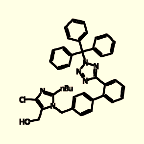 CCCCc1nc(Cl)c(CO)n1Cc1ccc(-c2ccccc2-c2nnn(C(c3ccccc3)(c3ccccc3)c3ccccc3)n2)cc1